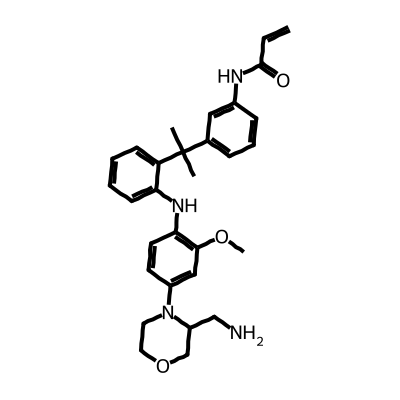 C=CC(=O)Nc1cccc(C(C)(C)c2ccccc2Nc2ccc(N3CCOCC3CN)cc2OC)c1